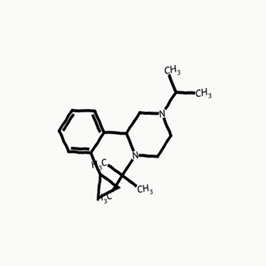 CC(C)N1CCN(C(C)(C)C)C(c2ccccc2C2CC2)C1